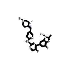 CCN1CC/C(=C\c2ccc(Nc3ncc(F)c(-c4cc(F)c5nc(C)n(C(C)C)c5c4)n3)nc2)[C@@H](C)C1